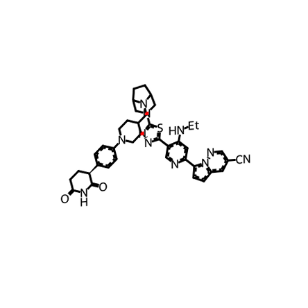 CCNc1cc(-c2ccc3cc(C#N)cnn23)ncc1-c1nnc(N2CC3CCC(C2)N3CC2CCN(c3ccc([C@@H]4CCC(=O)NC4=O)cc3)CC2)s1